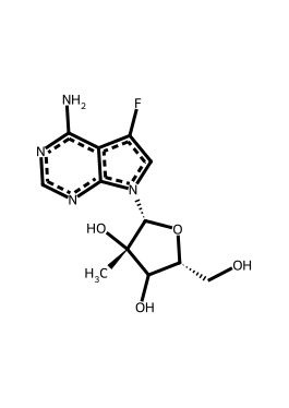 C[C@]1(O)C(O)[C@@H](CO)O[C@H]1n1cc(F)c2c(N)ncnc21